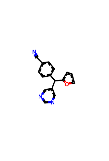 N#Cc1ccc(C(c2cncnc2)c2ccco2)cc1